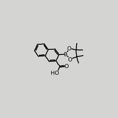 CC1(C)OB(c2cc3ccccc3cc2C(=O)O)OC1(C)C